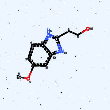 CCOc1ccc2[nH]c(CC[O])nc2c1